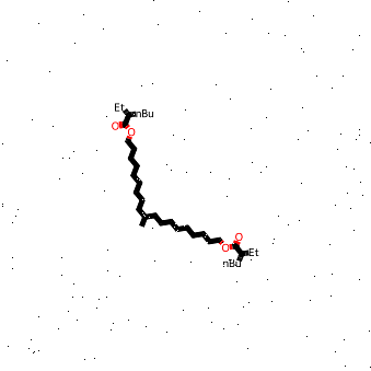 CCCCC(CC)C(=O)OCCCCCCCCCC(C)CCCCCCCCCOC(=O)C(CC)CCCC